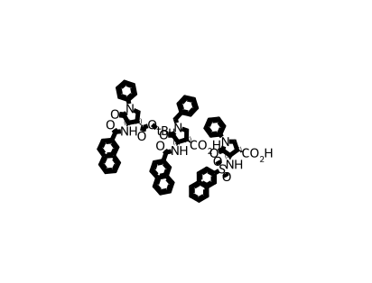 CC(C)(C)OC(=O)[C@H]1CN(c2ccccc2)C(=O)[C@H]1NC(=O)c1ccc2ccccc2c1.O=C(N[C@@H]1C(=O)N(Cc2ccccc2)C[C@@H]1C(=O)O)c1ccc2ccccc2c1.O=C(O)[C@H]1CN(c2ccccc2)C(=O)[C@H]1NS(=O)(=O)c1ccc2ccccc2c1